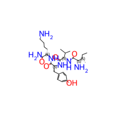 CC[C@H](C)[C@H](N)C(=O)N[C@H](C(=O)N[C@@H](Cc1ccc(O)cc1)C(=O)N[C@@H](CCCCN)C(N)=O)C(C)C